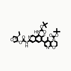 CC[C@@H]1COC[C@H]1OC(=O)Nc1cc2cc(-c3cnc4c(c3C)N(C(=O)OC(C)(C)C)CCO4)c(F)c(NC(=O)OC(C)(C)C)c2cn1